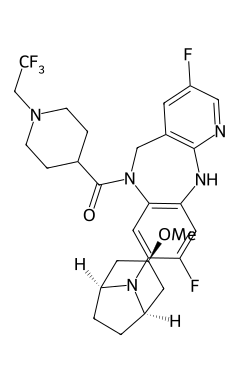 CO[C@H]1C[C@H]2CC[C@@H](C1)N2c1cc2c(cc1F)Nc1ncc(F)cc1CN2C(=O)C1CCN(CC(F)(F)F)CC1